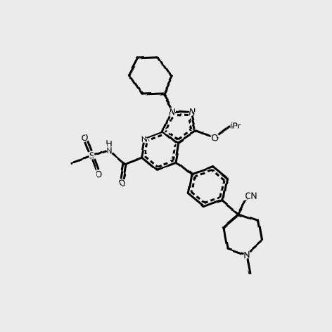 CC(C)Oc1nn(C2CCCCC2)c2nc(C(=O)NS(C)(=O)=O)cc(-c3ccc(C4(C#N)CCN(C)CC4)cc3)c12